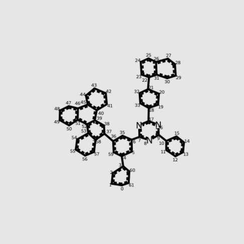 c1ccc(-c2cc(-c3nc(-c4ccccc4)nc(-c4ccc(-c5cccc6ccccc56)cc4)n3)cc(-c3cc4c5ccccc5c5ccccc5c4c4ccccc34)c2)cc1